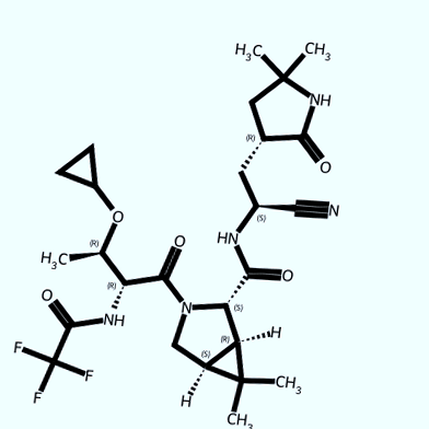 C[C@@H](OC1CC1)[C@@H](NC(=O)C(F)(F)F)C(=O)N1C[C@H]2[C@@H]([C@H]1C(=O)N[C@H](C#N)C[C@@H]1CC(C)(C)NC1=O)C2(C)C